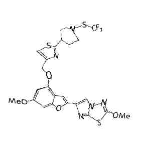 COc1cc(OCc2csc(C3CCN(SC(F)(F)F)CC3)n2)c2cc(-c3cn4nc(OC)sc4n3)oc2c1